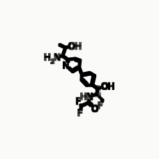 CC(O)C(N)c1ccc(-c2ccc([C@@H](O)[C@@H](CF)NC(=O)C(F)F)cc2)cn1